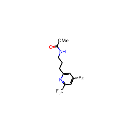 COC(=O)NCCCc1cc(C(C)=O)cc(C(F)(F)F)n1